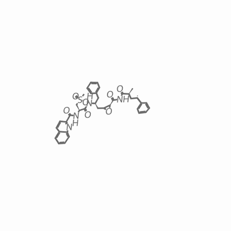 C[C@@H](C[CH]c1ccccc1)C(=O)NC(=O)[C@H]1OC1C[C@H](Cc1ccccc1)NC(=O)[C@H](CS(C)(=O)=O)NC(=O)c1ccc2ccccc2n1